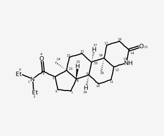 CCN(CC)C(=O)C1CC[C@H]2[C@@H]3CCC4NC(=O)CC[C@]4(C)[C@@H]3CC[C@]12C